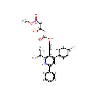 CO[PH](=O)CC(O)CC(=O)OC#Cc1c(-c2ccc(F)cc2)cc(-c2ccccc2)nc1C(C)C